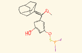 COC(=C1C2CC3CC(C2)CC1C3)c1cc(O)cc(OSP(I)I)c1